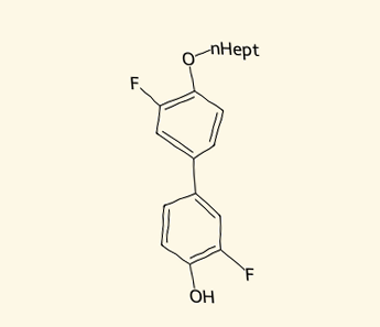 CCCCCCCOc1ccc(-c2ccc(O)c(F)c2)cc1F